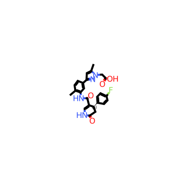 Cc1ccc(-c2cc(C)n(CC(=O)O)n2)cc1NC(=O)C1=CNC(=O)C[C@H]1c1ccc(F)cc1